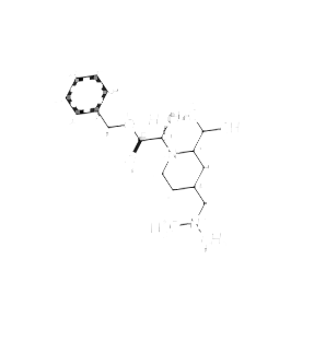 CC(C)C1CC(CN(C)C)CCN1C(C)C(=O)OCc1ccccc1